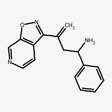 C=C(CC(N)c1ccccc1)c1noc2cnccc12